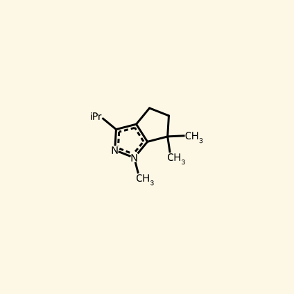 CC(C)c1nn(C)c2c1CCC2(C)C